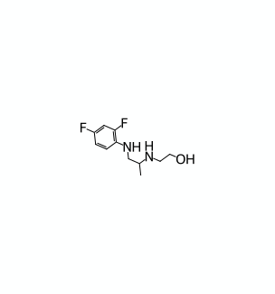 CC(CNc1ccc(F)cc1F)NCCO